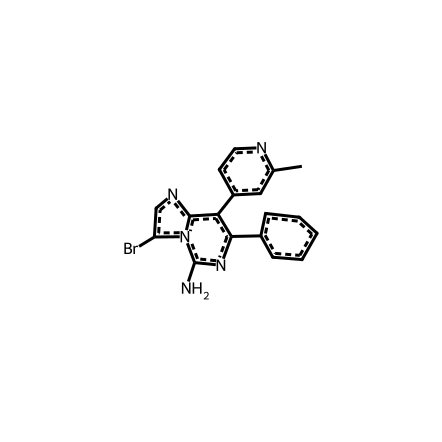 Cc1cc(-c2c(-c3ccccc3)nc(N)n3c(Br)cnc23)ccn1